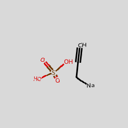 C#C[CH2][Na].O=S(=O)(O)O